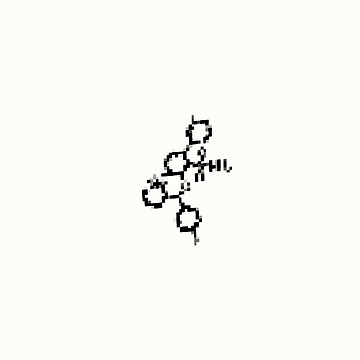 N#Cc1ccc(-c2cccnc2)c(S(N)(=O)=O)c1OC(c1ccc(F)cc1)c1cccnc1